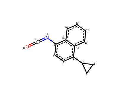 O=C=Nc1ccc(C2CC2)c2ccccc12